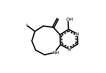 C=C1CC(I)CCCNc2ncnc(O)c21